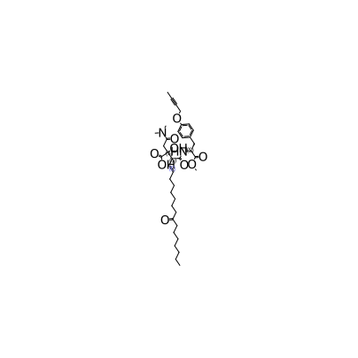 CC#CCOc1ccc(C[C@H](NC(=O)[C@@H](/C=C/CCCCCCC(=O)CCCCCCC)[C@@](O)(CC(=O)N(C)C)C(=O)O)C(=O)OC)cc1